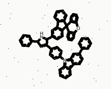 C1=C(c2ccc(-n3c4ccccc4c4ccc(-c5ccccc5)cc43)cc2)C(c2ccc3c(c2)-c2ccccc2C32c3ccccc3Oc3ccccc32)NC1c1ccccc1